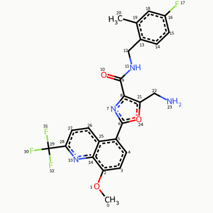 COc1ccc(-c2nc(C(=O)NCc3ccc(F)cc3C)c(CN)o2)c2ccc(C(F)(F)F)nc12